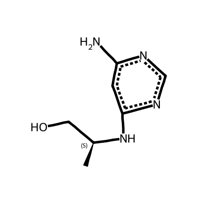 C[C@@H](CO)Nc1cc(N)ncn1